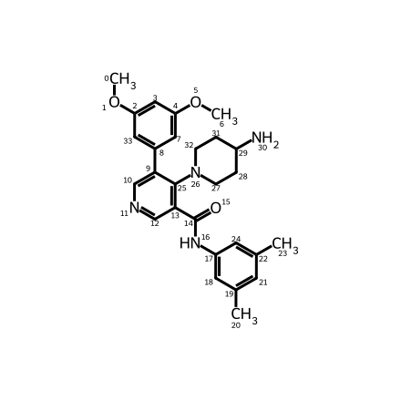 COc1cc(OC)cc(-c2cncc(C(=O)Nc3cc(C)cc(C)c3)c2N2CCC(N)CC2)c1